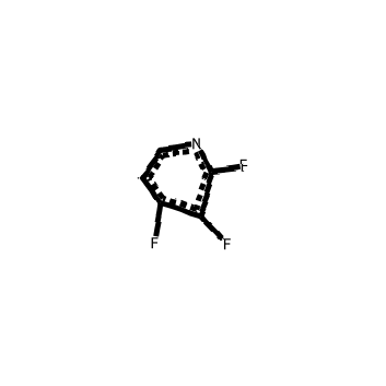 Fc1[c]cnc(F)c1F